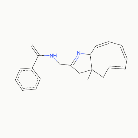 C=C(NCC1=NC2\C=C/C=C\C=C\CC2(C)C1)c1ccccc1